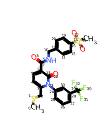 CSCc1ccc(C(=O)NCc2ccc(S(C)(=O)=O)cc2)c(=O)n1-c1cccc(C(F)(F)F)c1